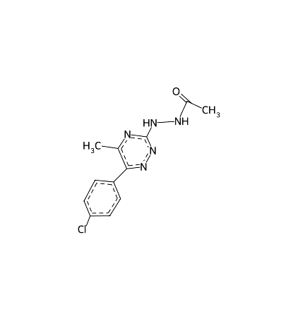 CC(=O)NNc1nnc(-c2ccc(Cl)cc2)c(C)n1